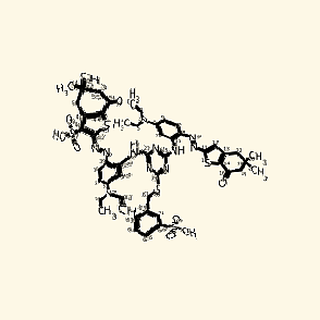 CCN(CC)c1ccc(/N=N/c2cc3c(s2)C(=O)CC(C)(C)C3)c(Nc2nc(Nc3cc(N(CC)CC)ccc3/N=N/c3sc4c(c3S(=O)(=O)O)CC(C)(C)CC4=O)nc(SCc3cccc(S(=O)(=O)O)c3)n2)c1